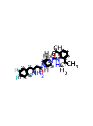 CC(C)c1cccc(C(C)C)c1NC(=O)N1C[C@@H]2C[C@H]1CN2C(=O)CC(N)Cc1cc(F)c(F)cc1F